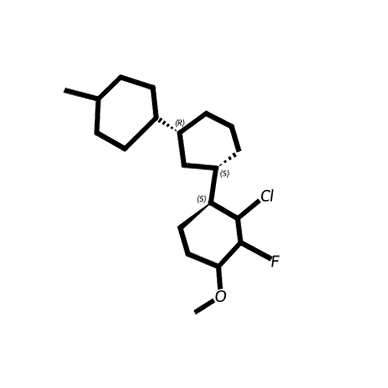 COC1CC[C@@H]([C@H]2CCC[C@@H](C3CCC(C)CC3)C2)C(Cl)C1F